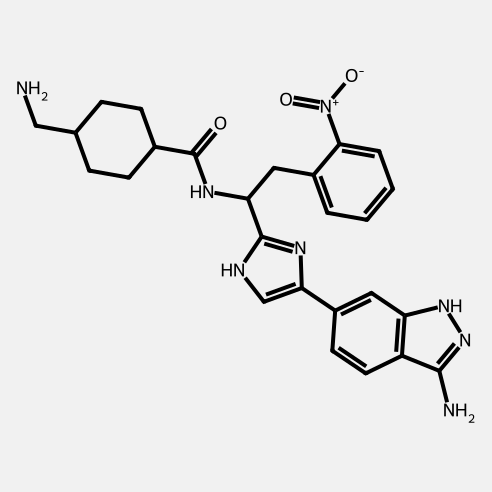 NCC1CCC(C(=O)NC(Cc2ccccc2[N+](=O)[O-])c2nc(-c3ccc4c(N)n[nH]c4c3)c[nH]2)CC1